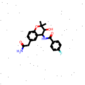 CC1(C)Oc2ccc(CC(N)=O)cc2C(NC(=O)c2ccc(F)cc2)C1O